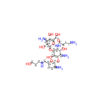 NCC[C@H](O)C(=O)N[C@@H]1C[C@H](N)C(O[C@H]2O[C@H](CNCCCO)CC[C@H]2N)[C@H](O)[C@H]1O[C@H]1O[C@H](CO)[C@@H](O)[C@H](N)[C@H]1O